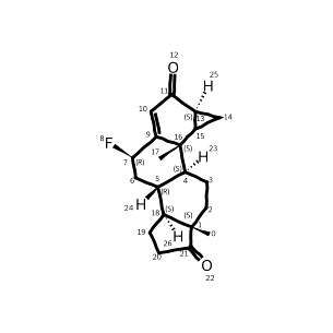 C[C@]12CC[C@H]3[C@@H](C[C@@H](F)C4=CC(=O)[C@H]5CC5[C@@]43C)[C@@H]1CCC2=O